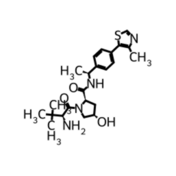 Cc1ncsc1-c1ccc([C@H](C)NC(=O)[C@H]2C[C@@H](O)CN2C(=O)[C@@H](N)C(C)(C)C)cc1